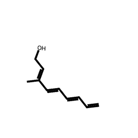 C=CC=CC=CC(C)=CCO